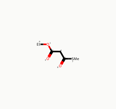 CCOC(=O)CC(=O)SC